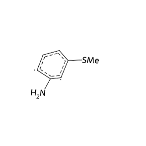 CSc1[c]c(N)[c]cc1